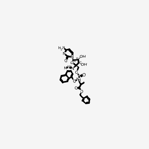 CC(C(=O)OCc1ccccc1)N(Oc1cccc2ccccc12)[PH](=O)OC[C@@]1(N=[N+]=[N-])O[C@@H](n2ccc(N)nc2=O)[C@H](O)[C@@H]1O